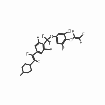 CC1CCC(/C(F)=C(\F)c2cc(F)c(C(F)(F)Oc3cc(F)c(OC(F)=C(F)F)c(Cl)c3)c(F)c2)CC1